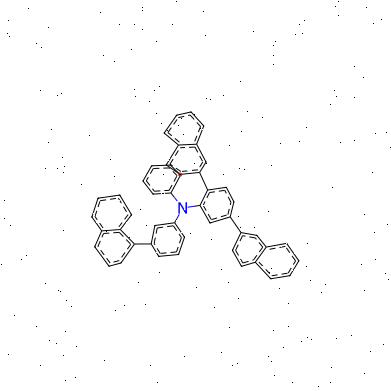 c1ccc(N(c2cccc(-c3cccc4ccccc34)c2)c2cc(-c3ccc4ccccc4c3)ccc2-c2ccc3ccccc3c2)cc1